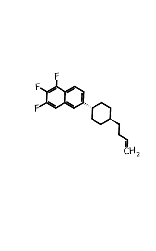 C=CCC[C@H]1CC[C@H](c2ccc3c(F)c(F)c(F)cc3c2)CC1